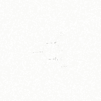 CC(CC(=O)C(C)(C)C)C(C)NC(C)(C)C